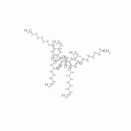 CCCCCCCCOc1cc(OCCCCCCCC)c(S(=O)(=O)C(=[N+]=[N-])S(=O)(=O)c2cc(CC)c(OCCCCCCCC)cc2OCCCCCCCC)cc1CC